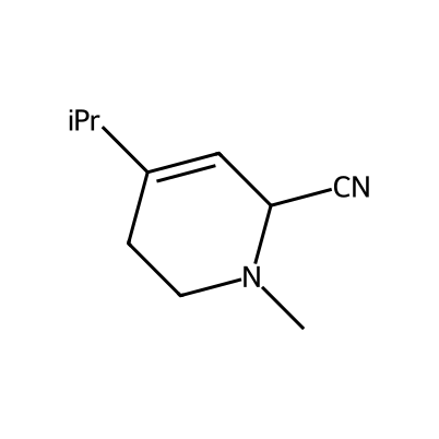 CC(C)C1=CC(C#N)N(C)CC1